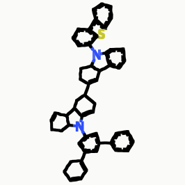 C1=CCCC(c2cc(-c3ccccc3)cc(N3C4=CCC(C5=CC6c7ccccc7N(c7cccc8c7sc7ccccc78)C6CC5)CC4C4C=CCCC43)c2)=C1